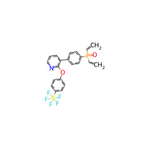 C=CP(=O)(C=C)c1ccc(-c2cccnc2Oc2ccc(S(F)(F)(F)(F)F)cc2)cc1